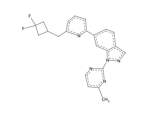 Cc1ccnc(-n2ncc3ccc(-c4cccc(CC5CC(F)(F)C5)n4)cc32)n1